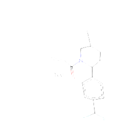 CC1CCC(c2ccc(C(F)F)cc2)N(C(=O)C(=O)[O-])C1.[Na+]